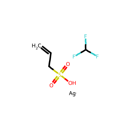 C=CCS(=O)(=O)O.FC(F)F.[Ag]